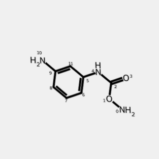 NOC(=O)Nc1cccc(N)c1